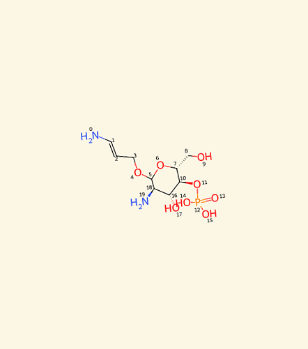 NC=CCOC1O[C@H](CO)[C@@H](OP(=O)(O)O)[C@H](O)[C@H]1N